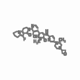 C[C@H]1CN(C2COC2)CCN1c1ccc(Nc2cc(-c3ccnc(N4CCc5c(c(F)c6n5CCCC6)C4=O)c3CO)cn(C)c2=O)nc1